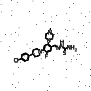 CN1CCN(c2cc(N3CCC(c4ccc(Cl)cc4)CC3)c(F)cc2/C=N/NC(N)=S)CC1